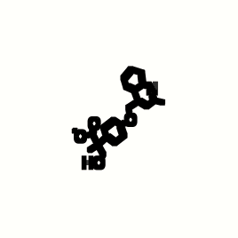 COC(=O)C(C)(CO)c1ccc(OCc2cc(C)nc3ccccc23)cc1